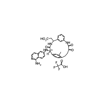 Cc1cc2ccc1CCC(=O)C(=O)Nc1cccc(c1)C(CC(=O)O)NC(=O)[C@H]2Nc1ccc2c(N)nccc2c1.O=C(O)C(F)(F)F